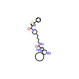 O=C(NCCCCC1CCN(C(=O)c2csc(-c3ccccc3)n2)CC1)c1cc2c([nH]1)C1(CCCCCCCCCC1)CNC2